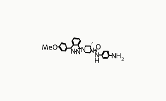 COc1ccc(-c2nnc(N3CCN(C(=O)Nc4ccc(N)cc4)[C@@H](C)C3)c3ccccc23)cc1